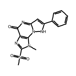 Cn1c(S(C)(=O)=O)nc2c(=O)nc3cc(-c4ccccc4)[nH]n3c21